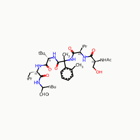 CCCCC(C=O)NC(=O)[C@H](CC(C)C)NC(=O)[C@@H](NC(=O)C(C)(NC(=O)[C@H](NC(=O)[C@H](CO)NC(C)=O)C(C)C)c1ccccc1C)C(C)(C)C